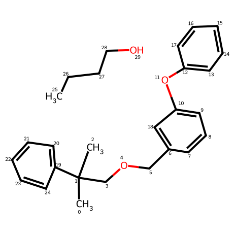 CC(C)(COCc1cccc(Oc2ccccc2)c1)c1ccccc1.CCCCO